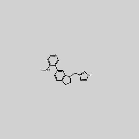 CNc1ncncc1-c1ccc2c(c1)N(Cc1c[nH]cn1)CC2